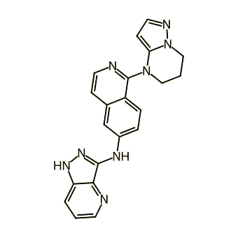 c1cnc2c(Nc3ccc4c(N5CCCn6nccc65)nccc4c3)n[nH]c2c1